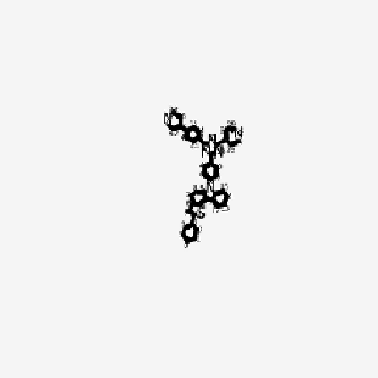 c1ccc(-c2cc3ccc4c(c5ccccc5n4-c4ccc(-c5nc(-c6ccncc6)nc(-c6ccc(-c7ccncc7)cc6)n5)cc4)c3s2)cc1